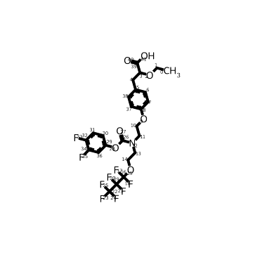 CCOC(Cc1ccc(OCCN(CCOC(F)(F)C(F)(F)C(F)(F)F)C(=O)Oc2ccc(F)c(F)c2)cc1)C(=O)O